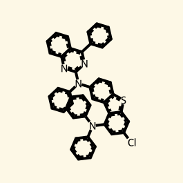 Clc1cc(N(c2ccccc2)c2ccccc2)c2c(c1)sc1ccc(N(c3ccccc3)c3nc(-c4ccccc4)c4ccccc4n3)cc12